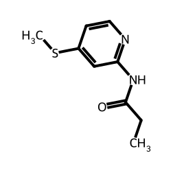 CCC(=O)Nc1cc(SC)ccn1